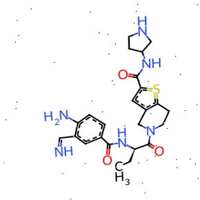 CC[C@@H](NC(=O)c1ccc(N)c(C=N)c1)C(=O)N1CCc2sc(C(=O)NC3CCNC3)cc2C1